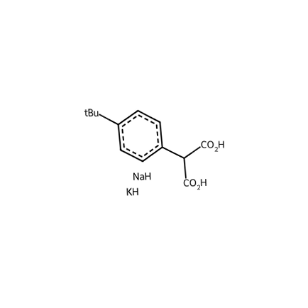 CC(C)(C)c1ccc(C(C(=O)O)C(=O)O)cc1.[KH].[NaH]